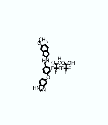 COc1ccc2c(c1)CC(NCc1ccc(Oc3ccc4[nH]cnc4c3)cc1)C2.O=C(O)C(F)(F)F.O=C(O)C(F)(F)F